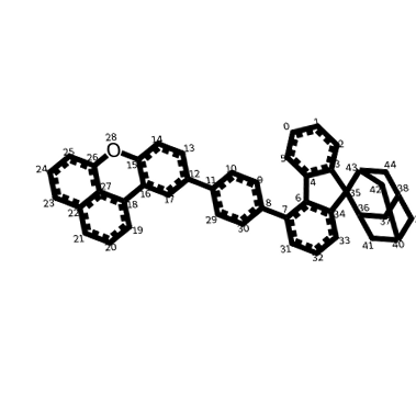 c1ccc2c(c1)-c1c(-c3ccc(-c4ccc5c(c4)-c4cccc6cccc(c46)O5)cc3)cccc1C21C2CC3CC(C2)CC1C3